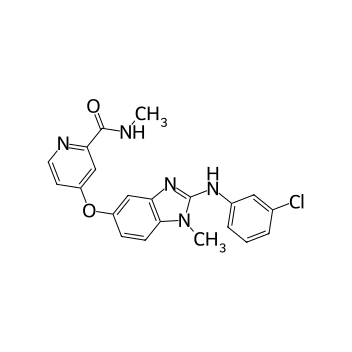 CNC(=O)c1cc(Oc2ccc3c(c2)nc(Nc2cccc(Cl)c2)n3C)ccn1